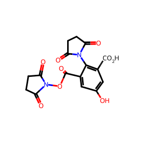 O=C(O)c1cc(O)cc(C(=O)ON2C(=O)CCC2=O)c1N1C(=O)CCC1=O